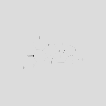 CC1=C2[C@H](C)C[C@H]3[C@@H]4CC[C@H](O)[C@@]4(C)CC[C@@H]3[C@@]2(C)CC(=CO)C1=O